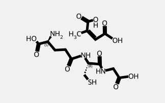 CC(=CC(=O)O)C(=O)O.N[C@@H](CCC(=O)N[C@@H](CS)C(=O)NCC(=O)O)C(=O)O